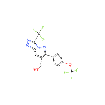 OCc1cc2nnc(C(F)(F)F)n2nc1-c1ccc(OC(F)(F)F)cc1